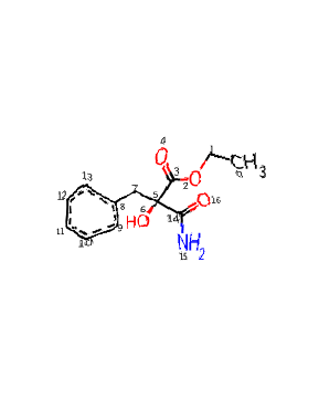 CCOC(=O)[C@@](O)(Cc1ccccc1)C(N)=O